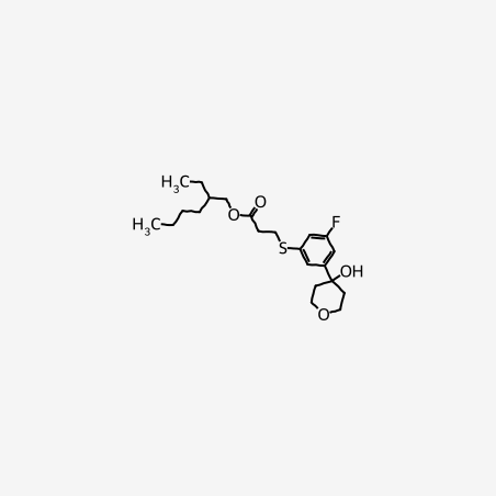 CCCCC(CC)COC(=O)CCSc1cc(F)cc(C2(O)CCOCC2)c1